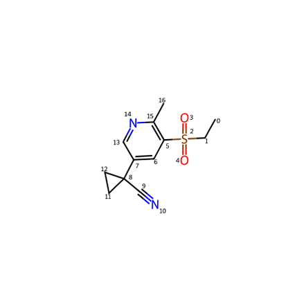 CCS(=O)(=O)c1cc(C2(C#N)CC2)cnc1C